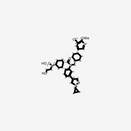 COc1ncc([C@H]2CC[C@H](CN(c3cccc(-c4cnn(C5CC5)c4)c3)C(=O)[C@H]3CC[C@H](N(CCO)C(=O)O)CC3)CC2)cc1Cl